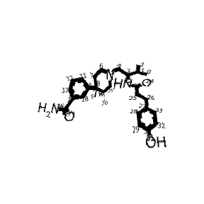 CC(C)C(CN1CC[C@@](C)(c2cccc(C(N)=O)c2)[C@@H](C)C1)NC(=O)CCc1ccc(O)cc1